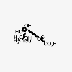 CCCCC(C)(C)[C@H](O)CC[C@@H]1[C@@H](CCC/C=C/C=C/OC(=O)CCC(=O)O)[C@@H](O)C[C@H]1O